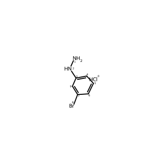 Cl.NNc1cccc(Br)c1